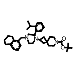 CC(C)c1ccccc1C1CN(Cc2cccc3c2CCCC3)CCN1C1CC2(CCN(C(=O)OC(C)(C)C)CC2)C1